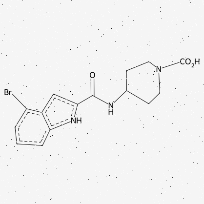 O=C(NC1CCN(C(=O)O)CC1)c1cc2c(Br)cccc2[nH]1